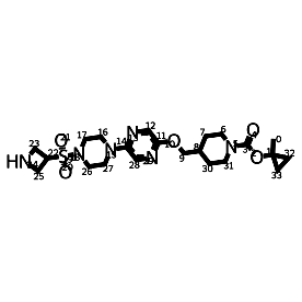 CC1(OC(=O)N2CCC(COc3cnc(N4CCN(S(=O)(=O)C5CNC5)CC4)cn3)CC2)CC1